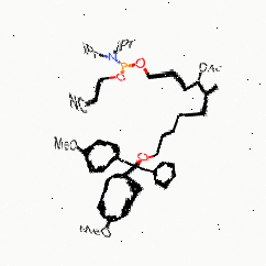 COc1ccc(C(OCCCCCC(C)C(CCCOP(OCCC#N)N(C(C)C)C(C)C)OC(C)=O)(c2ccccc2)c2ccc(OC)cc2)cc1